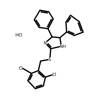 Cl.Clc1cccc(Cl)c1CSC1=NC(c2ccccc2)C(c2ccccc2)N1